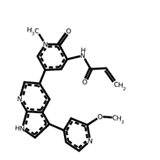 C=CC(=O)Nc1cc(-c2cnc3[nH]cc(-c4ccnc(OC)c4)c3c2)cn(C)c1=O